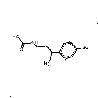 O=C(O)NCCC(O)c1ccc(Br)cn1